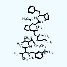 CC[C@H](C)[C@@H]([C@@H](CC(=O)N1CCC[C@H]1[C@H](OC)[C@@H](C)C(=O)N[C@@H](Cc1ccccc1)c1nccs1)OC)N(C)C(=O)[C@@H](NC(=O)[C@H](C(C)C)N(C)Cc1cccc(NC)c1)C(C)C